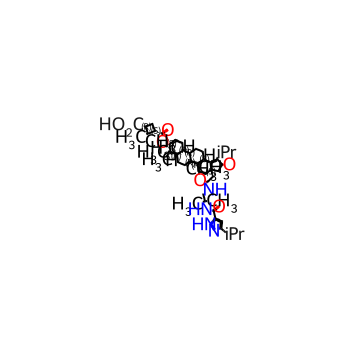 CC(C)C1=C2[C@H]3CC[C@@H]4[C@@]5(C)CC[C@H](OC(=O)[C@H]6C[C@@H](C(=O)O)C6(C)C)C(C)(C)[C@@H]5CC[C@@]4(C)[C@]3(C)CC[C@@]2(CC(=O)NCC(C)(C)NC(=O)c2cc(C(C)C)n[nH]2)CC1=O